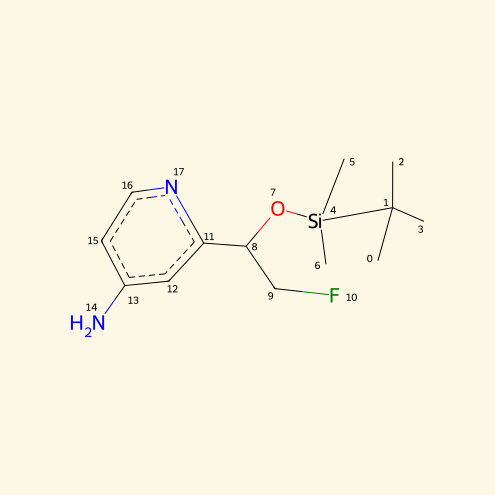 CC(C)(C)[Si](C)(C)OC(CF)c1cc(N)ccn1